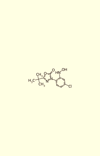 CC(C)(C)c1nn(-c2ccc(Cl)cc2NO)c(=O)o1